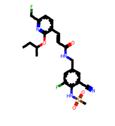 CCC(C)Oc1nc(CF)ccc1/C=C/C(=O)NCc1cc(F)c(NS(C)(=O)=O)c(C#N)c1